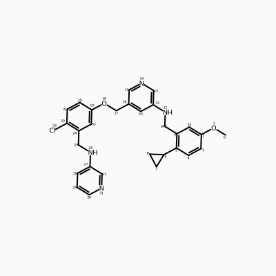 COc1ccc(C2CC2)c(CNc2cncc(COc3ccc(Cl)c(CNc4cccnc4)c3)c2)c1